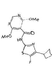 COc1ncnc(OC)c1C(=O)Nc1nc(C2CCC2)c(F)s1